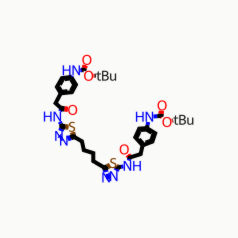 CC(C)(C)OC(=O)Nc1ccc(CC(=O)Nc2nnc(CCCCc3nnc(NC(=O)Cc4ccc(NC(=O)OC(C)(C)C)cc4)s3)s2)cc1